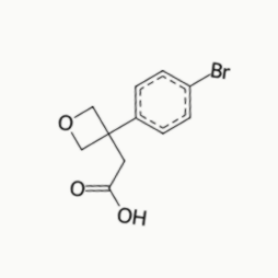 O=C(O)CC1(c2ccc(Br)cc2)COC1